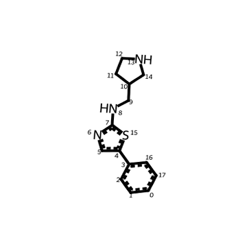 c1ccc(-c2cnc(NCC3CCNC3)s2)cc1